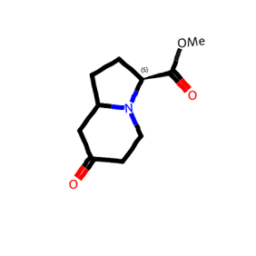 COC(=O)[C@@H]1CCC2CC(=O)CCN21